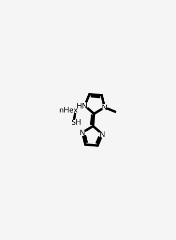 CCCCCCS.CN1C=CNC1=C1N=CC=N1